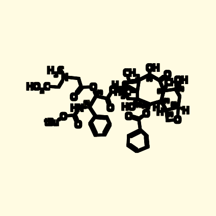 CC1=C2[C@@H](O)C(=O)[C@@]3(C)[C@@H]([C@@H]4CO[C@@H]4C[C@@H]3O)[C@H](OC(=O)c3ccccc3)[C@](O)(C[C@@H]1OC(=O)[C@H](OC(=O)CN(C)CC(=O)O)[C@@H](NC(=O)OC(C)(C)C)c1ccccc1)C2(C)C